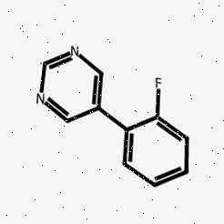 Fc1ccccc1-c1cn[c]nc1